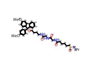 COc1ccc(C(OCCCCNC(=O)CNC(=O)CNC(=O)CCCCC/[P+]([O-])=N/C(C)C)(c2ccccc2)c2ccc(OC)cc2)cc1